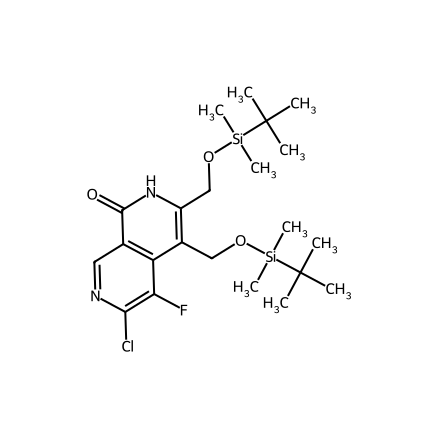 CC(C)(C)[Si](C)(C)OCc1[nH]c(=O)c2cnc(Cl)c(F)c2c1CO[Si](C)(C)C(C)(C)C